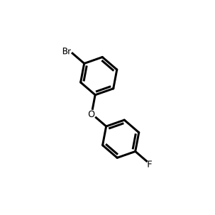 Fc1ccc(Oc2cccc(Br)c2)cc1